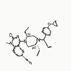 CCC(c1ccc(OC2CC2)cc1)N1C[C@H](CC)N(c2nc(=O)n(C)c3ccc(C#N)nc23)C[C@H]1CC